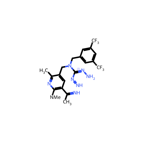 CNc1nc(C)c(CN(Cc2cc(C(F)(F)F)cc(C(F)(F)F)c2)/C(N=N)=N/N)cc1C(C)=N